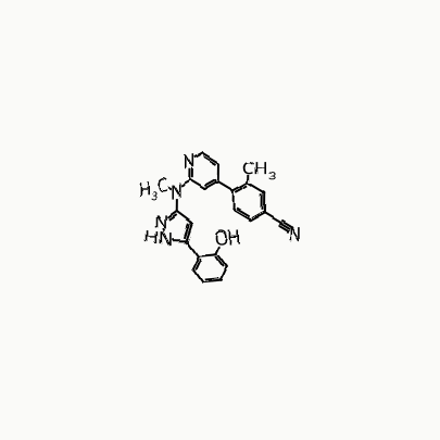 Cc1cc(C#N)ccc1-c1ccnc(N(C)c2cc(-c3ccccc3O)[nH]n2)c1